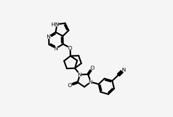 N#Cc1cccc(N2CC(=O)N(C34CCC(Oc5ncnc6[nH]ccc56)(CC3)C4)C2=O)c1